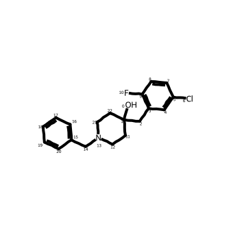 OC1(Cc2cc(Cl)ccc2F)CCN(Cc2ccccc2)CC1